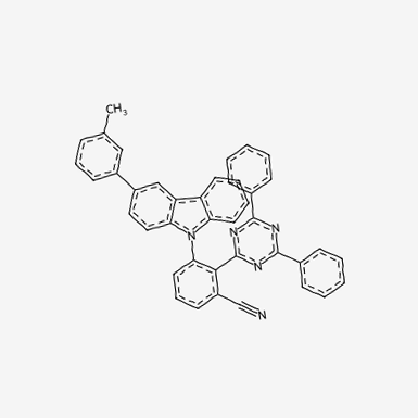 Cc1cccc(-c2ccc3c(c2)c2ccccc2n3-c2cccc(C#N)c2-c2nc(-c3ccccc3)nc(-c3ccccc3)n2)c1